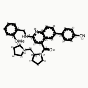 COc1ccccc1CNc1cc(C(=O)N2CCC[C@H]2CN2CCCC2)c2cc(-c3ccc(C#N)cc3)ccc2n1